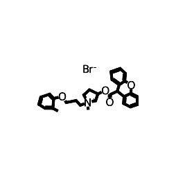 Cc1ccccc1OCCC[N+]1(C)CCC(OC(=O)C2c3ccccc3Oc3ccccc32)C1.[Br-]